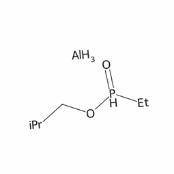 CC[PH](=O)OCC(C)C.[AlH3]